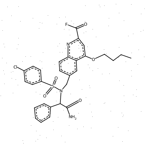 CCCCOc1cc(C(=O)F)nc2ccc(CN(C(C(N)=O)c3ccccc3)S(=O)(=O)c3ccc(Cl)cc3)cc12